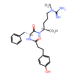 N=C(N)N(CCC[C@H](NC(=O)[C@@H](Cc1ccccc1)NC(=O)CCc1ccc(O)cc1)C(=O)O)[N+](=O)[O-]